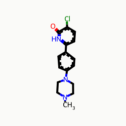 CN1CCN(c2ccc(-c3ccc(Cl)c(=O)[nH]3)cc2)CC1